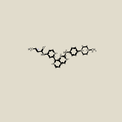 C/C=C/C(=O)Nc1ccnc(-c2nccc3cnc(Nc4ccc(N5CCN(C)CC5)cc4)nc23)c1